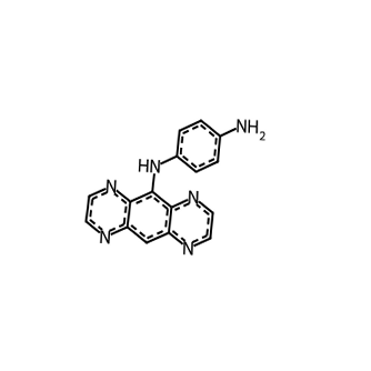 Nc1ccc(Nc2c3nccnc3cc3nccnc23)cc1